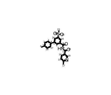 Cc1ccc(-c2cc(C(=O)NC(=O)c3ccc(C)nc3)cc(S(C)(=O)=O)c2)cc1